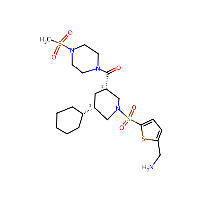 CS(=O)(=O)N1CCN(C(=O)[C@H]2C[C@@H](C3CCCCC3)CN(S(=O)(=O)c3ccc(CN)s3)C2)CC1